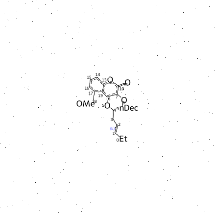 CC/C=C/CCOc1c(OCCCCCCCCCC)c(=O)oc2cccc(OC)c12